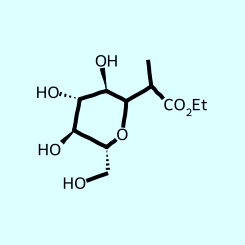 CCOC(=O)C(C)C1O[C@H](CO)[C@@H](O)[C@H](O)[C@H]1O